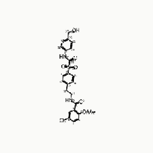 COc1ccc(Cl)cc1C(=O)NCCc1ccc(S(=O)(=O)C(=O)Nc2ccc(CO)nc2)cc1